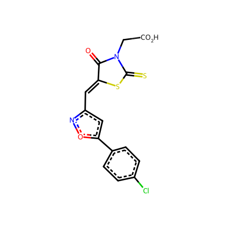 O=C(O)CN1C(=O)C(=Cc2cc(-c3ccc(Cl)cc3)on2)SC1=S